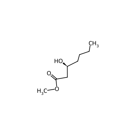 CCCC[C@H](O)CC(=O)OC